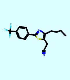 CCCCc1nc(-c2ccc(C(F)(F)F)cc2)sc1CC#N